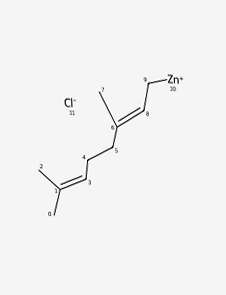 CC(C)=CCC/C(C)=C/[CH2][Zn+].[Cl-]